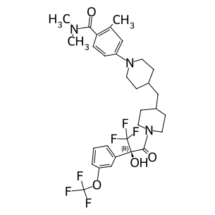 Cc1cc(N2CCC(CC3CCN(C(=O)[C@](O)(c4cccc(OC(F)(F)F)c4)C(F)(F)F)CC3)CC2)ccc1C(=O)N(C)C